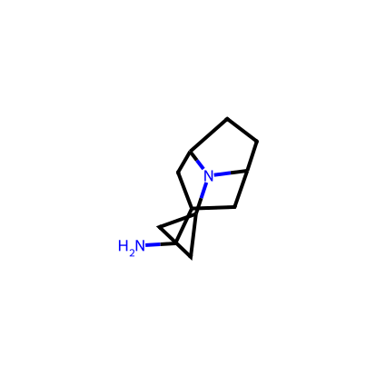 NCC1CC2CCC(C1)N2C1CC1